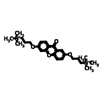 C[N+](C)(C)CCCOc1ccc2c(=O)c3cc(OCCC[N+](C)(C)C)ccc3oc2c1